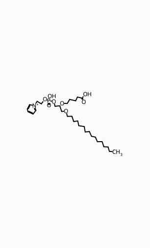 CCCCCCCCCCCCCCCCOCC(COP(=O)(O)OCC[n+]1ccccc1)OCCCCC(=O)O